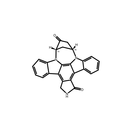 O=C1NCc2c1c1c3ccccc3n3c1c1c2c2ccccc2n1[C@H]1C[C@@H]3CC1=O